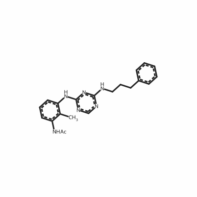 CC(=O)Nc1cccc(Nc2ncnc(NCCCc3ccccc3)n2)c1C